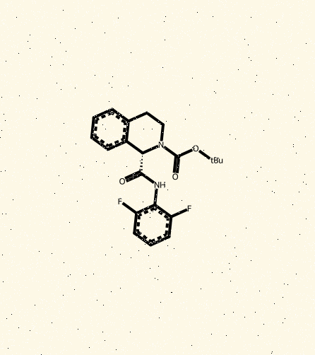 CC(C)(C)OC(=O)N1CCc2ccccc2[C@H]1C(=O)Nc1c(F)cccc1F